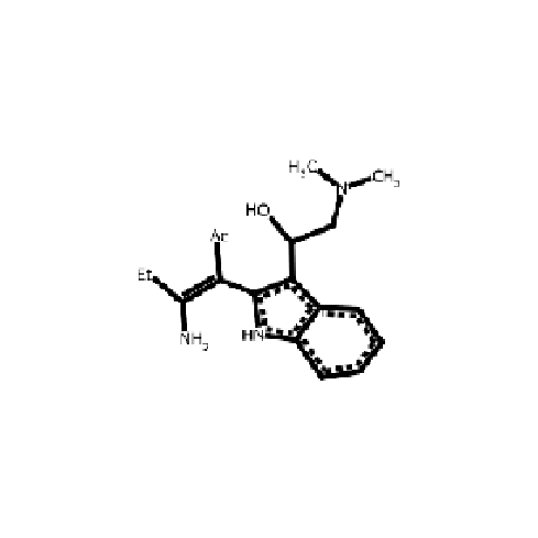 CCC(N)=C(C(C)=O)c1[nH]c2ccccc2c1C(O)CN(C)C